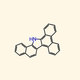 c1ccc2c(c1)ccc1c2[nH]c2c3ccccc3c3ccccc3c12